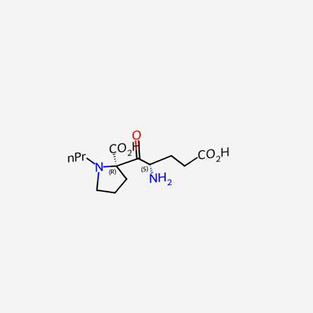 CCCN1CCC[C@]1(C(=O)O)C(=O)[C@@H](N)CCC(=O)O